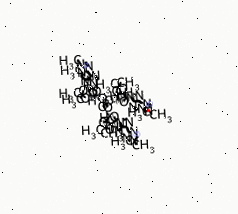 CN(C)/C=N\c1ncnc2c1ncn2[C@@H]1O[C@H](COP(=O)(OC[C@H]2O[C@@H](n3cnc4c(/N=C\N(C)C)ncnc43)[C@H]3OC(C)(C)O[C@H]32)OC[C@H]2O[C@@H](n3cnc4c(/N=C\N(C)C)ncnc43)[C@H]3OC(C)(C)O[C@H]32)[C@@H]2OC(C)(C)O[C@@H]21